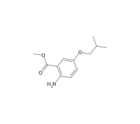 COC(=O)c1cc(OCC(C)C)ccc1N